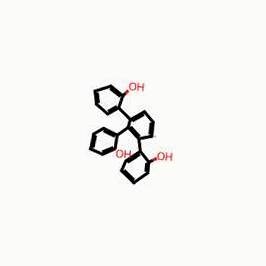 Oc1ccccc1-c1[c]ccc(-c2ccccc2O)c1-c1ccccc1O